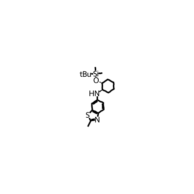 Cc1nc2ccc(N[C@@H]3CCCC[C@H]3O[Si](C)(C)C(C)(C)C)cc2s1